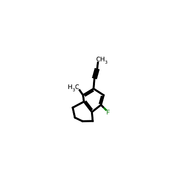 CC#Cc1cc(F)c2c(c1C)CCCC2